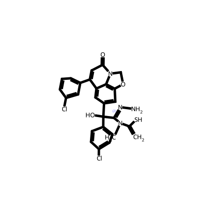 C=C(S)N(C)/C(=N\N)C(O)(c1ccc(Cl)cc1)c1cc2c3c(c1)c(-c1cccc(Cl)c1)cc(=O)n3CO2